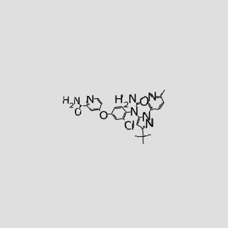 Cc1ccc(-n2nc(C(C)(C)C)cc2N(C(N)=O)c2ccc(Oc3ccnc(C(N)=O)c3)cc2Cl)cn1